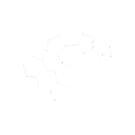 COCC(C)n1c(=O)c2c(-c3noc(C4(C)CC4)n3)ncn2c2cccc(Cl)c21